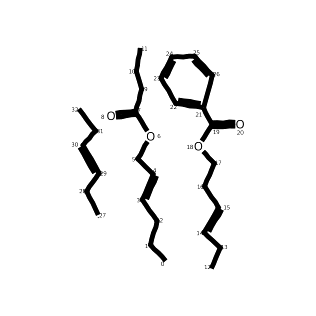 CCC/C=C/COC(=O)CCC.CCC=CCCOC(=O)c1ccccc1.[CH2]CC=CCC